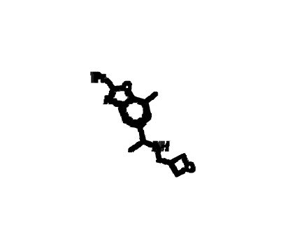 Cc1cc(C(C)NCC2COC2)cc2nc(C(C)C)oc12